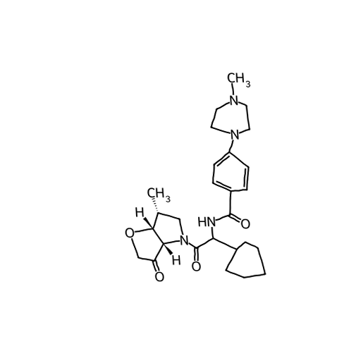 C[C@@H]1CN(C(=O)C(NC(=O)c2ccc(N3CCN(C)CC3)cc2)C2CCCCC2)[C@@H]2C(=O)CO[C@H]12